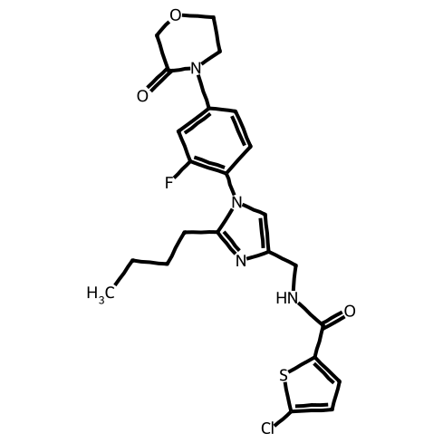 CCCCc1nc(CNC(=O)c2ccc(Cl)s2)cn1-c1ccc(N2CCOCC2=O)cc1F